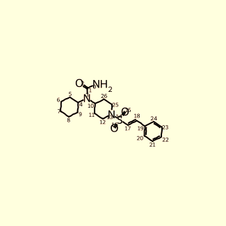 NC(=O)N(C1CCCCC1)C1CCN(S(=O)(=O)/C=C/c2ccccc2)CC1